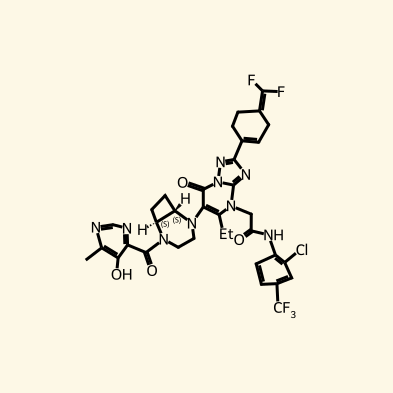 CCc1c(N2CCN(C(=O)c3ncnc(C)c3O)[C@H]3CC[C@@H]32)c(=O)n2nc(C3=CCC(=C(F)F)CC3)nc2n1CC(=O)Nc1ccc(C(F)(F)F)cc1Cl